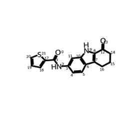 O=C(Nc1ccc2c3c([nH]c2c1)C(=O)CCC3)c1cccs1